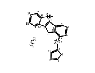 C1=CC[C]([Zr+2][c]2cccc3c2Cc2c-3[nH]c3ccccc23)=C1.[Cl-].[Cl-]